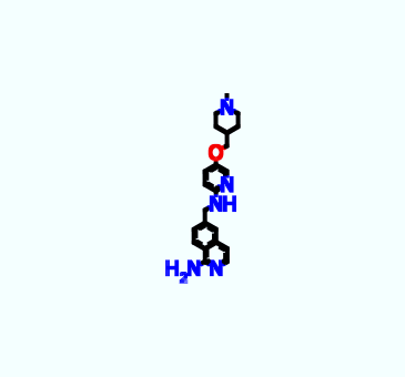 CN1CCC(COc2ccc(NCc3ccc4c(N)nccc4c3)nc2)CC1